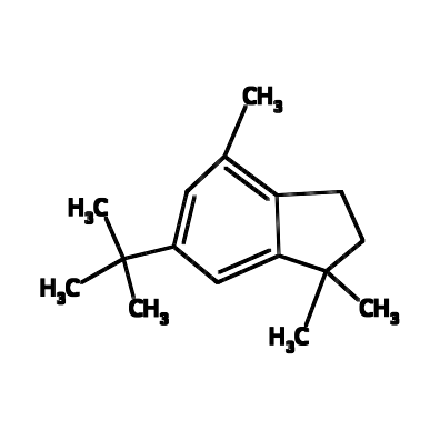 Cc1cc(C(C)(C)C)cc2c1CCC2(C)C